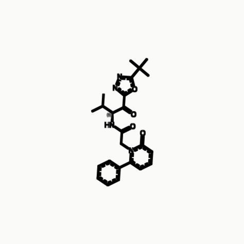 CC(C)[C@H](NC(=O)Cn1c(-c2ccccc2)cccc1=O)C(=O)c1nnc(C(C)(C)C)o1